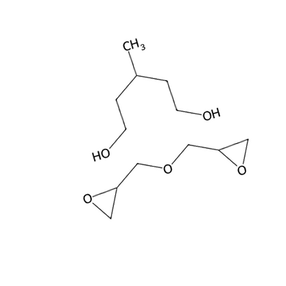 C(OCC1CO1)C1CO1.CC(CCO)CCO